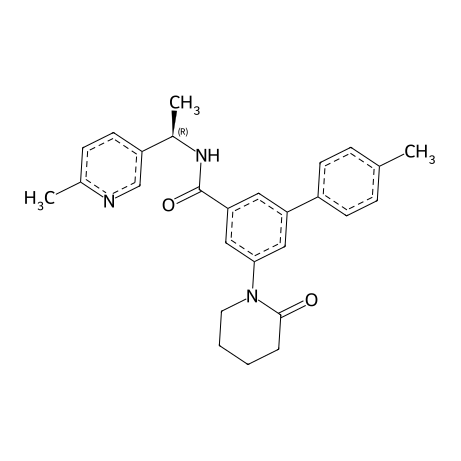 Cc1ccc(-c2cc(C(=O)N[C@H](C)c3ccc(C)nc3)cc(N3CCCCC3=O)c2)cc1